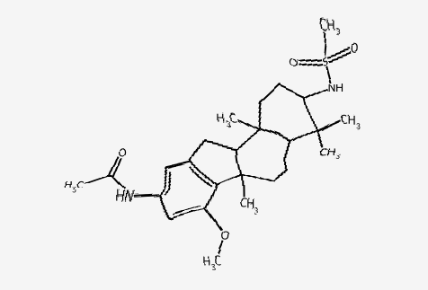 COc1cc(NC(C)=O)cc2c1C1(C)CCC3C(C)(C)C(NS(C)(=O)=O)CCC3(C)C1C2